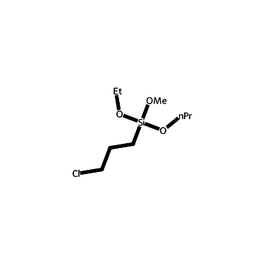 CCCO[Si](CCCCl)(OC)OCC